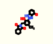 Cc1cc(CN2C(=O)C3=C(CCCC3)C2=O)c(O)c(-n2nc3c(=O)cccc-3[nH]2)c1